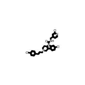 O=C(NCc1ccnc(Cl)c1)n1c2c(c3ccc(Cl)cc31)CN(CC=Cc1ccc(Cl)cc1)CC2